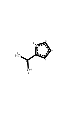 OC(O)c1cccs1